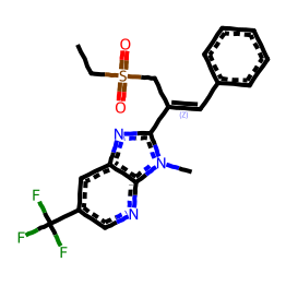 CCS(=O)(=O)C/C(=C\c1ccccc1)c1nc2cc(C(F)(F)F)cnc2n1C